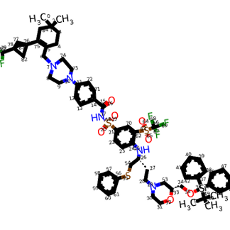 CC1(C)CCC(CN2CCN(c3ccc(C(=O)NS(=O)(=O)c4ccc(N[C@H](CCN5CCO[C@@H](CO[Si](c6ccccc6)(c6ccccc6)C(C)(C)C)C5)CSc5ccccc5)c(S(=O)(=O)C(F)(F)F)c4)cc3)CC2)=C(C23CC(C(F)F)(C2)C3)C1